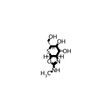 CNC1=N[C@H]2[C@@H](O1)S[C@H](CO)C(O)[C@@H]2O